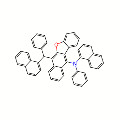 c1ccc(C(c2cccc3ccccc23)c2c3ccccc3c(N(c3ccccc3)c3cccc4ccccc34)c3c2oc2ccccc23)cc1